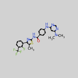 Cc1sc(NC(=O)c2ccc(Nc3cc(N(C)C)ncn3)cc2)nc1-c1cccc(C(F)(F)F)c1F